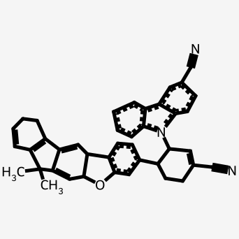 CC1(C)C2=CC3Oc4cc(C5CCC(C#N)=CC5n5c6ccccc6c6cc(C#N)ccc65)ccc4C3C=C2C2=C1C=CCC2